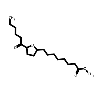 CCCCCC(=O)C1CCC(CCCCCCCC(=O)OC)O1